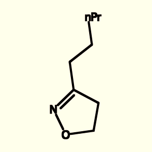 CCCCCC1=NOCC1